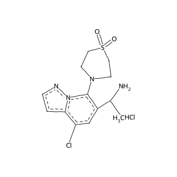 CC(N)c1cc(Cl)c2ccnn2c1N1CCS(=O)(=O)CC1.Cl